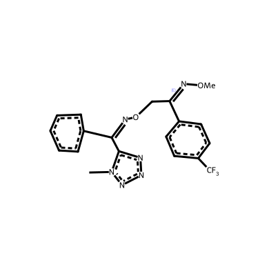 CO/N=C(/CON=C(c1ccccc1)c1nnnn1C)c1ccc(C(F)(F)F)cc1